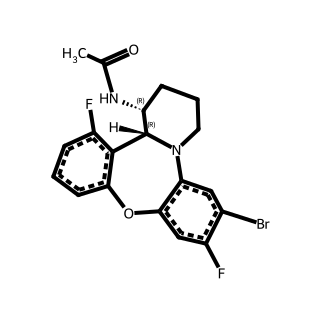 CC(=O)N[C@@H]1CCCN2c3cc(Br)c(F)cc3Oc3cccc(F)c3[C@H]12